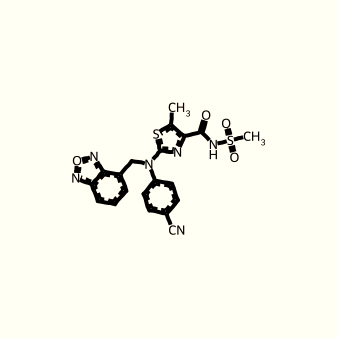 Cc1sc(N(Cc2cccc3nonc23)c2ccc(C#N)cc2)nc1C(=O)NS(C)(=O)=O